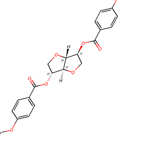 CCCCCCOc1ccc(C(=O)O[C@H]2CO[C@@H]3[C@@H]2OC[C@H]3OC(=O)c2ccc(OCCCCCC)cc2)cc1